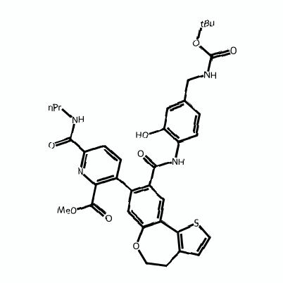 CCCNC(=O)c1ccc(-c2cc3c(cc2C(=O)Nc2ccc(CNC(=O)OC(C)(C)C)cc2O)-c2sccc2CCO3)c(C(=O)OC)n1